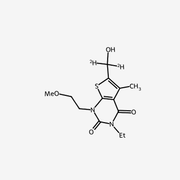 [2H]C([2H])(O)c1sc2c(c1C)c(=O)n(CC)c(=O)n2CCOC